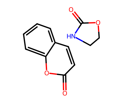 O=C1NCCO1.O=c1ccc2ccccc2o1